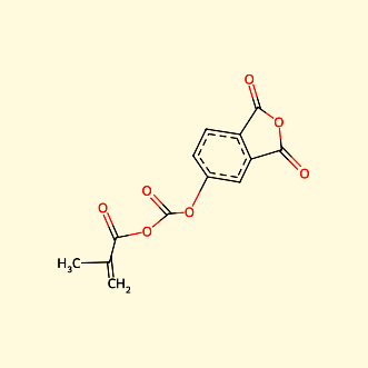 C=C(C)C(=O)OC(=O)Oc1ccc2c(c1)C(=O)OC2=O